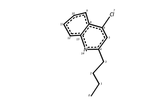 CCCCc1cc(Cl)c2ccccc2n1